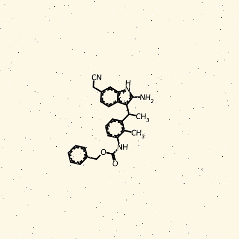 Cc1c(NC(=O)OCc2ccccc2)cccc1C(C)c1c(N)[nH]c2cc(CC#N)ccc12